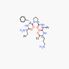 CCC(=O)[C@H](CCCN)NC(=O)[C@@H](NC(=O)[C@@H]1CCCN1C(=O)[C@@H](Cc1ccccc1)NC(=O)[C@@H](N)CC(C)C)C(C)C